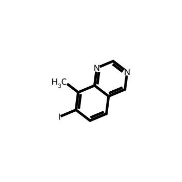 Cc1c(I)ccc2cncnc12